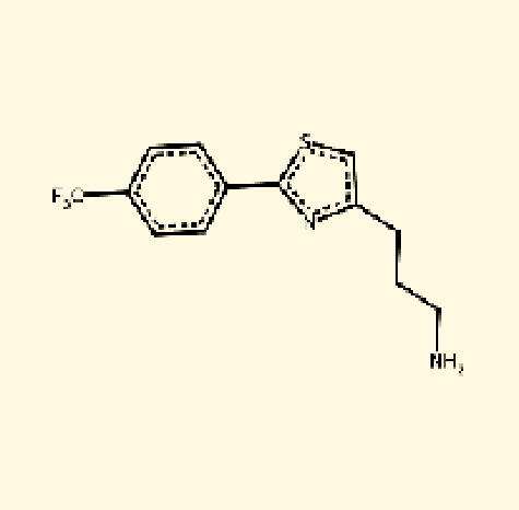 NCCCc1csc(-c2ccc(C(F)(F)F)cc2)n1